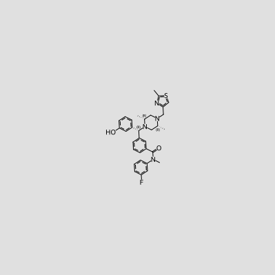 Cc1nc(CN2C[C@@H](C)N([C@@H](c3cccc(O)c3)c3cccc(C(=O)N(C)c4cccc(F)c4)c3)C[C@H]2C)cs1